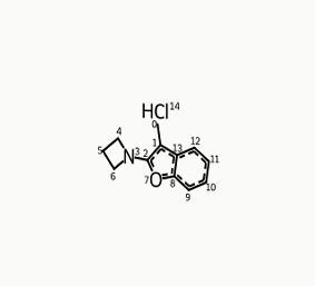 Cc1c(N2CCC2)oc2ccccc12.Cl